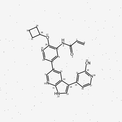 C=CC(=O)Nc1cc(-c2cnc3[nH]cc(-c4ccnc(C#N)c4)c3c2)cnc1OC1CCC1